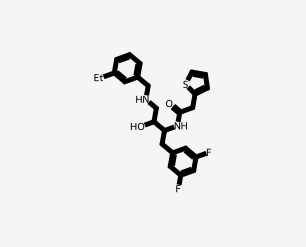 CCc1cccc(CNCC(O)C(Cc2cc(F)cc(F)c2)NC(=O)Cc2cccs2)c1